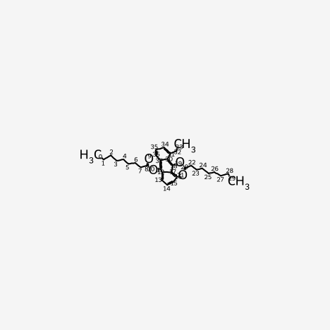 CCCCCCCCC(=O)Oc1c2ccccc2c(OC(=O)CCCCCCCC)c2c(CC)cccc12